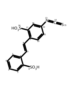 O=S(=O)(O)c1ccccc1C=Cc1ccc(N=C=S)cc1S(=O)(=O)O